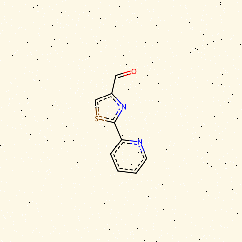 O=Cc1csc(-c2ccccn2)n1